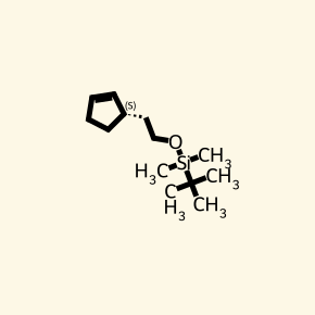 CC(C)(C)[Si](C)(C)OCC[C@H]1C=CCC1